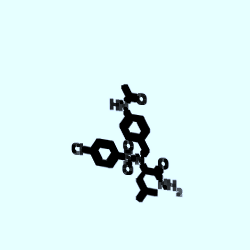 CC(=O)Nc1ccc(CN([C@H](CC(C)C)C(N)=O)S(=O)(=O)c2ccc(Cl)cc2)cc1